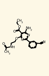 CCOC(=O)c1c(N)nc(-c2cccc(C#N)c2)nc1OCCNC(C)=O